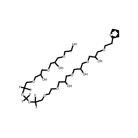 OCCOCC(O)COCC(O)COCC(F)(F)OC(F)(F)OC(F)(F)COCCOCC(O)COCC(O)COCC(O)COCCc1cccs1